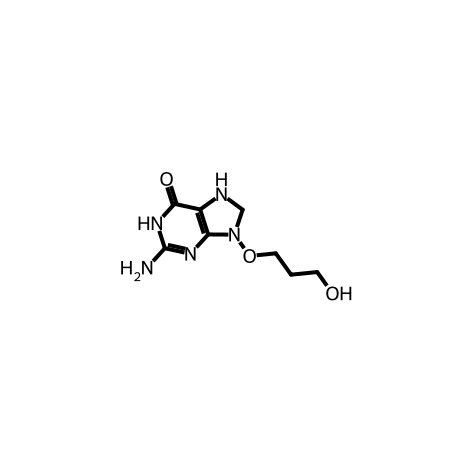 Nc1nc2c(c(=O)[nH]1)NCN2OCCCO